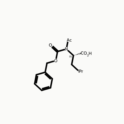 CC(=O)N(C(=O)OCc1ccccc1)[C@@H](CC(C)C)C(=O)O